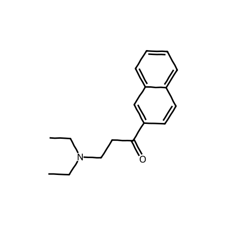 CCN(CC)CCC(=O)c1ccc2ccccc2c1